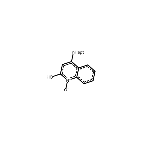 CCCCCCCc1cc(O)[n+]([O-])c2ccccc12